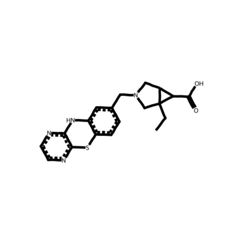 CCC12CN(Cc3ccc4c(c3)Nc3nccnc3S4)CC1C2C(=O)O